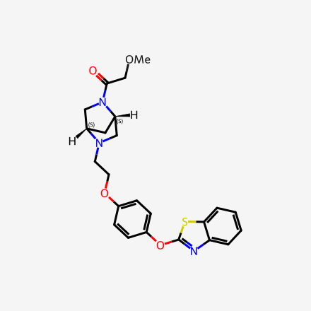 COCC(=O)N1C[C@@H]2C[C@H]1CN2CCOc1ccc(Oc2nc3ccccc3s2)cc1